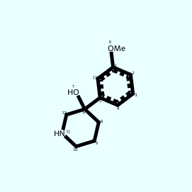 COc1cccc(C2(O)CCCNC2)c1